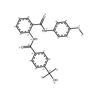 COc1ccc(NC(=O)c2ccccc2NC(=O)c2ccc(C(C)(C)O)cc2)cc1